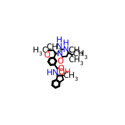 CC(C)[C@]1(C)CC(=O)N([C@@H]2CC(C)(C)Oc3ccc(C(=O)N[C@@H]4c5ccccc5CC4(C)O)cc32)C(=N)N1